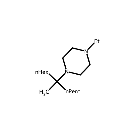 CCCCCCC(C)(CCCCC)N1CCN(CC)CC1